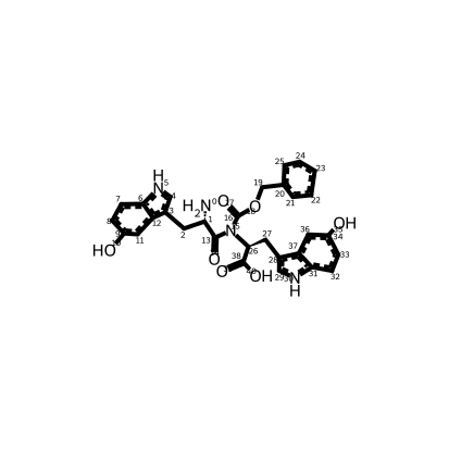 N[C@@H](Cc1c[nH]c2ccc(O)cc12)C(=O)N(C(=O)OCc1ccccc1)[C@@H](Cc1c[nH]c2ccc(O)cc12)C(=O)O